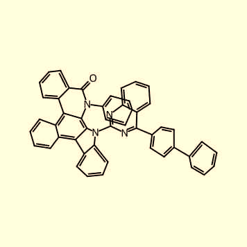 O=c1c2ccccc2c2c3ccccc3c3c4ccccc4n(-c4nc(-c5ccc(-c6ccccc6)cc5)c5ccccc5n4)c3c2n1-c1ccccc1